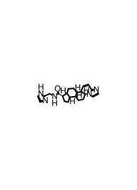 O=C(NCc1ncc[nH]1)[C@@H]1CC[C@H]2[C@@H]3CCC4[C@H](C=Cc5nccn54)[C@H]3CC[C@@H]21